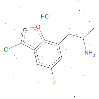 CC(N)Cc1cc(F)cc2c(Cl)coc12.Cl